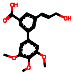 COc1cc(-c2cc(C=CCO)cc(C(=O)O)c2)cc(OC)c1OC